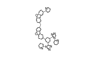 c1ccc(-c2ccc3oc4ccc(Cc5ccc6oc7ccc(-c8cc(-c9nncn9-c9ccccn9)cc(-c9nncn9-c9ccccn9)c8)cc7c6c5)cc4c3c2)nc1